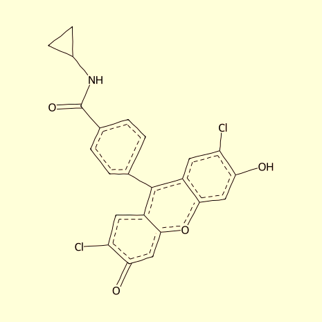 O=C(NC1CC1)c1ccc(-c2c3cc(Cl)c(=O)cc-3oc3cc(O)c(Cl)cc23)cc1